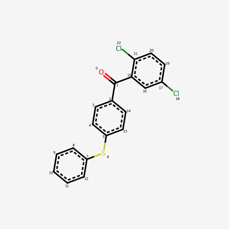 O=C(c1ccc(Sc2ccccc2)cc1)c1cc(Cl)ccc1Cl